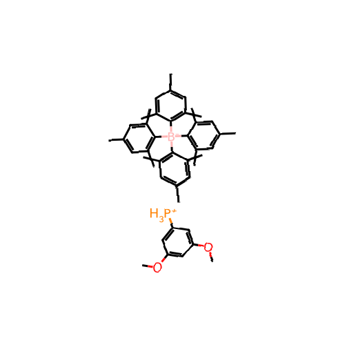 COc1cc([PH3+])cc(OC)c1.Cc1cc(C)c([B-](c2c(C)cc(C)cc2C)(c2c(C)cc(C)cc2C)c2c(C)cc(C)cc2C)c(C)c1